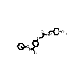 CCC(=NOC1CC2CCC1CC2)c1ccc(OCC(=O)NCC2CCN(C)CC2)cc1